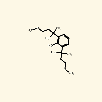 COCCC(C)(C)c1cccc(C(C)(C)CCOC)c1O